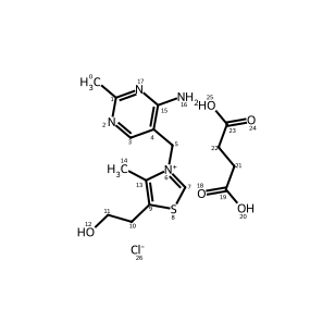 Cc1ncc(C[n+]2csc(CCO)c2C)c(N)n1.O=C(O)CCC(=O)O.[Cl-]